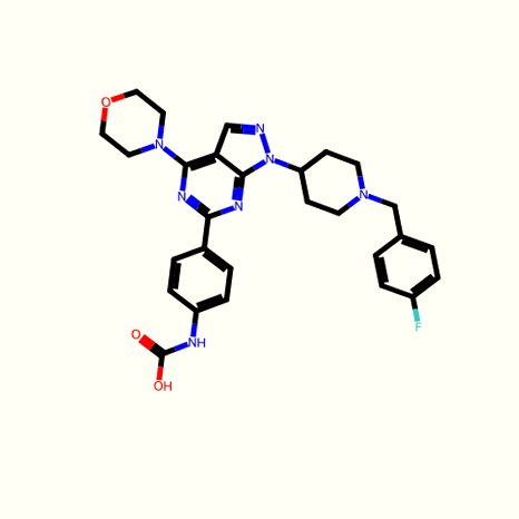 O=C(O)Nc1ccc(-c2nc(N3CCOCC3)c3cnn(C4CCN(Cc5ccc(F)cc5)CC4)c3n2)cc1